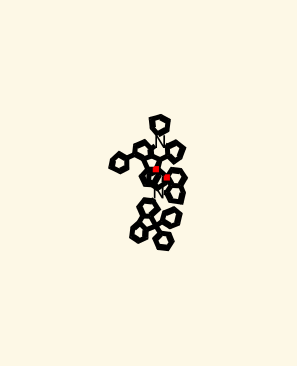 c1ccc(-c2ccc3c4c2-c2ccc(N(c5ccc6c(c5)C(c5ccccc5)(c5ccccc5)c5ccccc5-6)c5cccc6ccccc56)cc2C4(c2ccccc2)c2ccccc2N3c2ccccc2)cc1